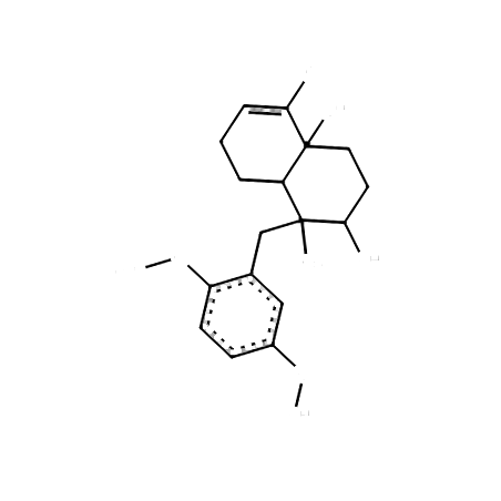 COc1ccc(OC)c(CC2(C)C(C)CCC3(C)C(C)=CCCC32)c1